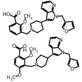 COc1c(CN2CCC(c3cn(Cc4ccoc4)c4ncccc34)CC2)cccc1C(=O)O.COc1ccc(C(=O)O)c(OC)c1CN1CCC(c2cn(Cc3ccoc3)c3ncccc23)CC1